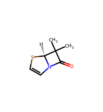 CC1(C)C(=O)N2C=CS[C@H]21